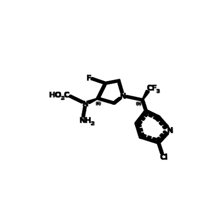 NN(C(=O)O)[C@@H]1CN([C@H](c2ccc(Cl)nc2)C(F)(F)F)CC1F